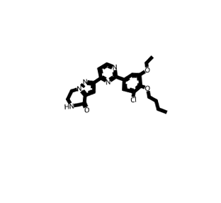 CCCCOc1c(Cl)cc(-c2nccc(-c3cc4n(n3)CCNC4=O)n2)cc1OCC